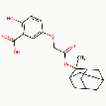 CC1(OC(=O)COc2ccc(O)c(C(=O)O)c2)C2CC3CC(C2)CC1C3